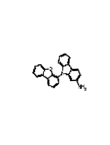 Nc1ccc2c3ccccc3n(-c3cccc4c3oc3ccccc34)c2c1